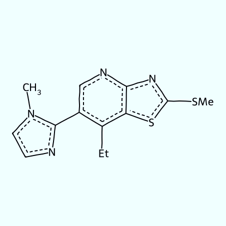 CCc1c(-c2nccn2C)cnc2nc(SC)sc12